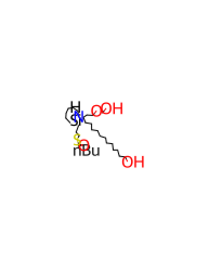 CCCCC(=O)SCCC[SiH]1CCCCCCN1C(CCCCCCCCCCCCO)CCOCO